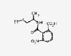 CCSCC(C)NC(=O)c1c(C(=O)O)cccc1[N+](=O)[O-]